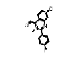 CN1C(c2ccc(F)cc2)=Nc2cc(Cl)ccc2C1C=O